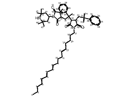 CCCCCCCCCCCCCCCCCCN1C(=O)C(CC(C)(C)c2ccccc2)C(C(C)(CC2C(=O)N(C3CC(C)(C)NC(C)(C)C3)C(=O)C2C)c2ccccc2)C1=O